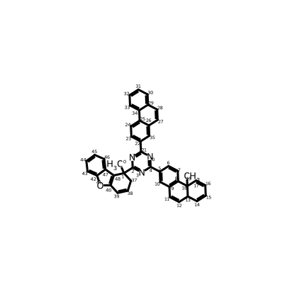 CC1(c2nc(-c3ccc4c(c3)C=CC3C=CC=CC43C)nc(-c3ccc4c(ccc5ccccc54)c3)n2)CC=Cc2oc3ccccc3c21